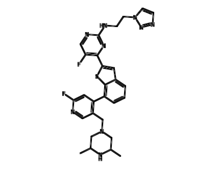 CC1CN(Cc2cnc(F)cc2-c2cccc3cc(-c4nc(NCCn5ccnn5)ncc4F)sc23)CC(C)N1